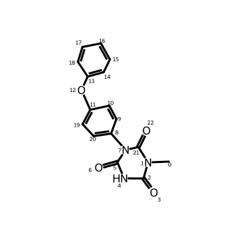 Cn1c(=O)[nH]c(=O)n(-c2ccc(Oc3ccccc3)cc2)c1=O